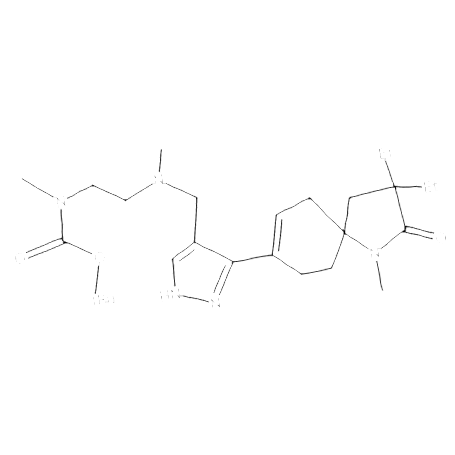 CCC1(CC)CC2(CC=C(c3n[nH]cc3CN(C)CCN(C)C(=O)OC(C)(C)C)CC2)N(C)C1=O